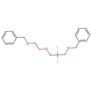 FC(F)([CH]OCCOCc1ccccc1)COCc1ccccc1